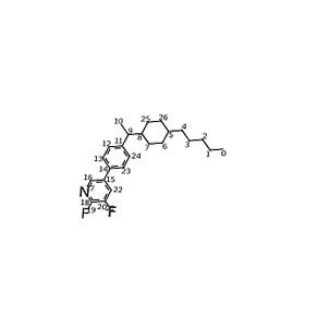 CCCCCC1CCC(C(C)c2ccc(-c3cnc(F)c(F)c3)cc2)CC1